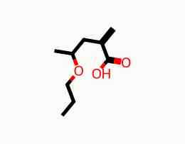 C=C(CC(C)OCCC)C(=O)O